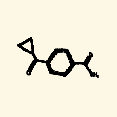 NC(=O)c1ccc(C(=O)C2CC2)cc1